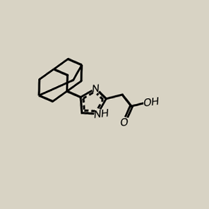 O=C(O)Cc1nc(C23CC4CC(CC(C4)C2)C3)c[nH]1